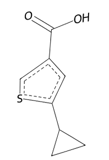 O=C(O)c1csc(C2CC2)c1